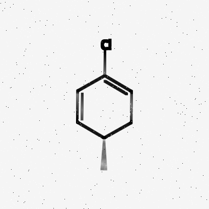 C[C@@H]1C=CC(Cl)=CC1